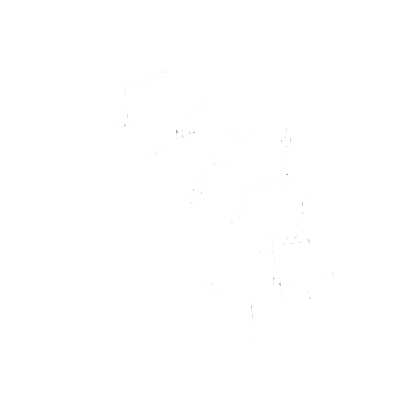 CC(=O)N1CCc2cc(Cl)c(S(=O)(=O)N3CCCCC3)cc21